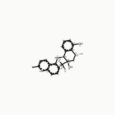 Cc1ccc2c(N[C@H]3c4cccc(O)c4[C@H](C)C[C@]3(O)C(F)(F)F)cccc2n1